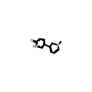 CN1C=CC=C(c2ccc(=O)[nH]c2)C1